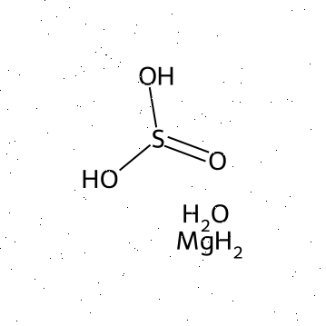 O.O=S(O)O.[MgH2]